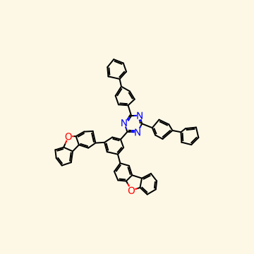 c1ccc(-c2ccc(-c3nc(-c4ccc(-c5ccccc5)cc4)nc(-c4cc(-c5ccc6oc7ccccc7c6c5)cc(-c5ccc6oc7ccccc7c6c5)c4)n3)cc2)cc1